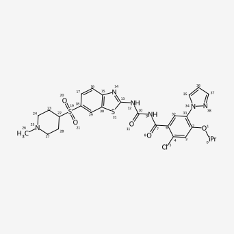 CC(C)Oc1cc(Cl)c(C(=O)NC(=O)Nc2nc3ccc(S(=O)(=O)C4CCN(C)CC4)cc3s2)cc1-n1cccn1